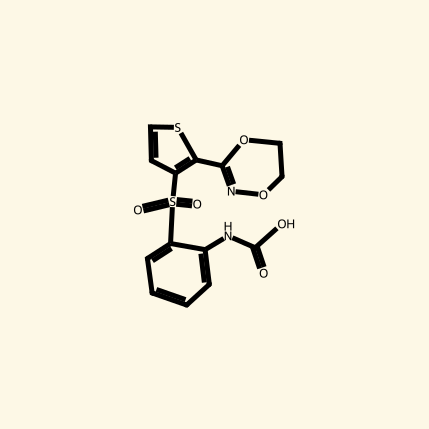 O=C(O)Nc1ccccc1S(=O)(=O)c1ccsc1C1=NOCCO1